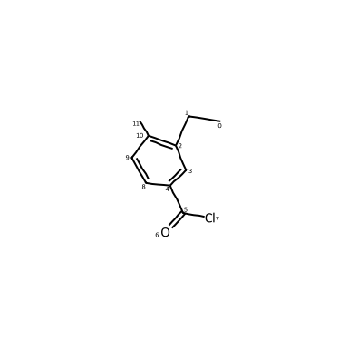 CCc1cc(C(=O)Cl)ccc1C